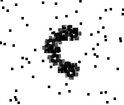 Cc1ccc(-c2cn3nc(-c4cccnc4C(F)(F)F)ccc3n2)cc1NC(=O)c1cccc(C=CC(=O)Nc2ccccc2N)c1